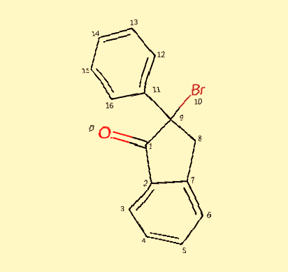 O=C1c2ccccc2CC1(Br)c1ccccc1